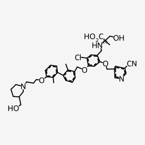 Cc1c(COc2cc(OCc3cncc(C#N)c3)c(CN[C@@](C)(CO)C(=O)O)cc2Cl)cccc1-c1cccc(OCCCN2CCCC(CO)C2)c1C